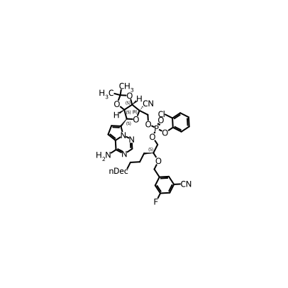 CCCCCCCCCCCCC[C@@H](COP(=O)(OC[C@@]1(C#N)O[C@@H](c2ccc3c(N)ncnn23)[C@@H]2OC(C)(C)O[C@@H]21)Oc1ccccc1Cl)OCc1cc(F)cc(C#N)c1